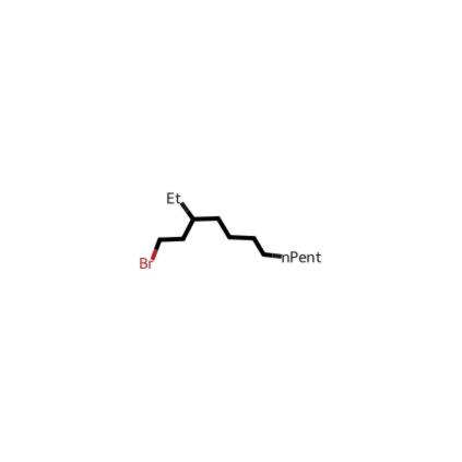 CCCCCCCCCC(CC)CCBr